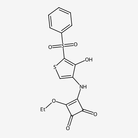 CCOc1c(Nc2csc(S(=O)(=O)c3ccccc3)c2O)c(=O)c1=O